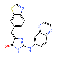 O=C1NC(Nc2ccc3nccnc3c2)=NC1=Cc1ccc2ncsc2c1